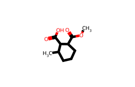 COC(=O)C1CCCC(C)C1C(=O)O